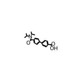 CC(C)N(C(=O)c1ccc(-c2ccc(C(=O)O)cc2)cc1)C(C)C